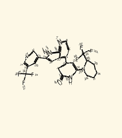 O=c1cc(-c2ccnc3[nH]c(-c4cncc(C(F)(F)F)c4)cc23)cc(N2CCCCC2C(F)(F)F)[nH]1